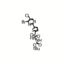 CC(C)(C)OC(=O)NNS(=O)(=O)c1ccc(-c2ncc(Cl)c(Br)n2)s1